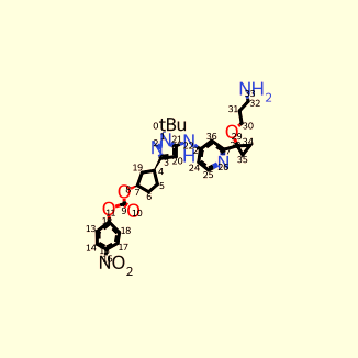 CC(C)(C)n1nc([C@H]2CC[C@@H](OC(=O)Oc3ccc([N+](=O)[O-])cc3)C2)cc1Nc1ccnc(C2(OCCCN)CC2)c1